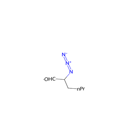 CCCCC([C]=O)N=[N+]=[N-]